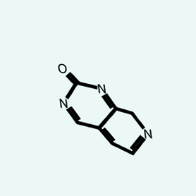 O=C1N=CC2=CC=NCC2=N1